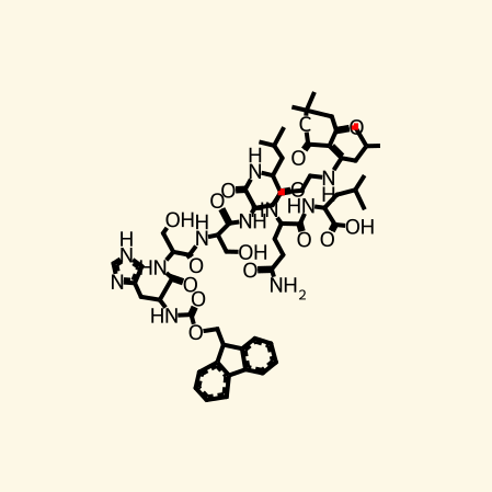 CC(C)CC(NCCCCC(NC(=O)C(CO)NC(=O)C(CO)NC(=O)C(Cc1c[nH]cn1)NC(=O)OCC1c2ccccc2-c2ccccc21)C(=O)NC(CC(C)C)C(=O)NC(CCC(N)=O)C(=O)NC(CC(C)C)C(=O)O)=C1C(=O)CC(C)(C)CC1=O